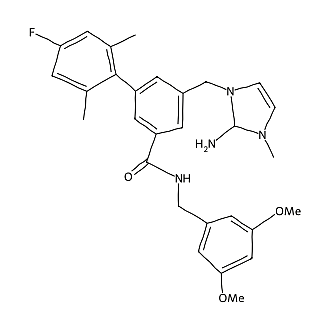 COc1cc(CNC(=O)c2cc(CN3C=CN(C)C3N)cc(-c3c(C)cc(F)cc3C)c2)cc(OC)c1